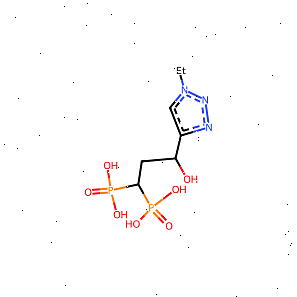 CCn1cc(C(O)CC(P(=O)(O)O)P(=O)(O)O)nn1